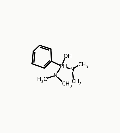 CN(C)[PH](O)(c1ccccc1)N(C)C